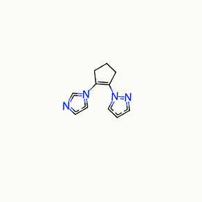 c1cnn(C2=C(n3ccnc3)CCC2)c1